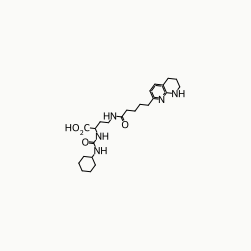 O=C(CCCCc1ccc2c(n1)NCCC2)NCCC(NC(=O)NC1CCCCC1)C(=O)O